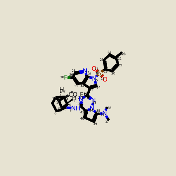 CCOC(=O)[C@@H]1C2CCC(CC2)[C@H]1Nc1nc(-c2cn(S(=O)(=O)c3ccc(C)cc3)c3ncc(F)cc23)nn2c(N(C)C)ccc12